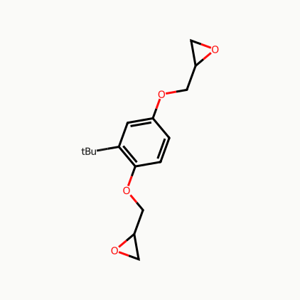 CC(C)(C)c1cc(OCC2CO2)ccc1OCC1CO1